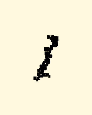 CNS(=O)(=O)c1cccc(OCC(O)CNC(=O)O[C@H]2COC3(CCN(S(=O)(=O)c4cnc5c(c4)N(C)C[C@@H](C)O5)CC3)C2)c1